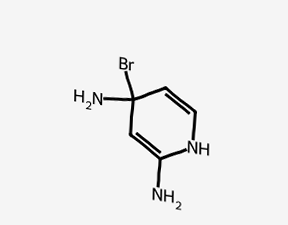 NC1=CC(N)(Br)C=CN1